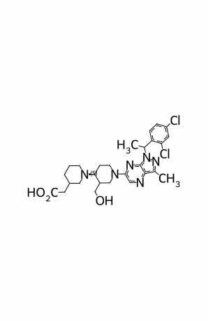 Cc1nn(C(C)c2ccc(Cl)cc2Cl)c2nc(N3CC[C@H](N4CCCC(CC(=O)O)C4)C(CO)C3)cnc12